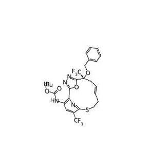 CC(C)(C)OC(=O)Nc1cc(C(F)(F)F)c2nc1-c1nnc(o1)[C@@](OCc1ccccc1)(C(F)(F)F)C/C=C/CCS2